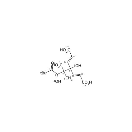 CC(C)(C)C(=O)C(O)C(C)(C(=O)O)C(O)(C=CC(=O)O)C=CC(=O)O